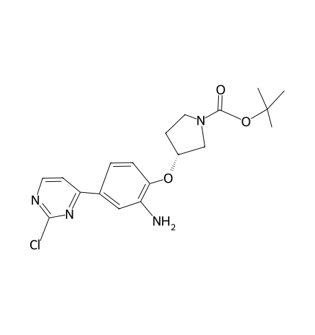 CC(C)(C)OC(=O)N1CC[C@@H](Oc2ccc(-c3ccnc(Cl)n3)cc2N)C1